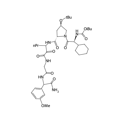 CCCC(NC(=O)[C@@H]1C[C@@H](OC(C)(C)C)CN1C(=O)[C@@H](NC(=O)OCC(C)C)C1CCCCC1)C(=O)C(=O)NCC(=O)NC(C(N)=O)c1cccc(OC)c1